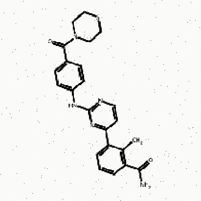 Cc1c(C(N)=O)cccc1-c1ccnc(Nc2ccc(C(=O)N3CCSCC3)cc2)n1